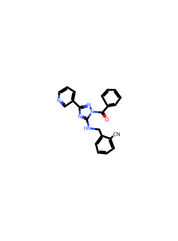 N#Cc1ccccc1CNc1nc(-c2cccnc2)nn1C(=O)c1ccccc1